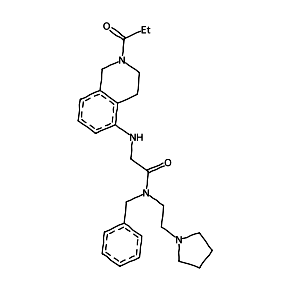 CCC(=O)N1CCc2c(cccc2NCC(=O)N(CCN2CCCC2)Cc2ccccc2)C1